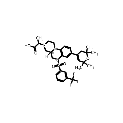 CC(C(=O)O)N1CCN2c3ccc(C4=CC(C)(C)OC(C)(C)C4)cc3N(S(=O)(=O)c3cccc(C(F)(F)F)c3)C[C@@H]2C1